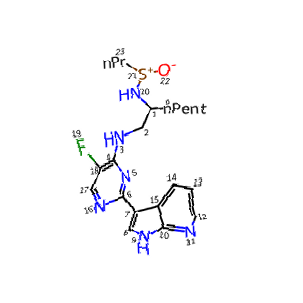 CCCCCC(CNc1nc(-c2c[nH]c3ncccc23)ncc1F)N[S+]([O-])CCC